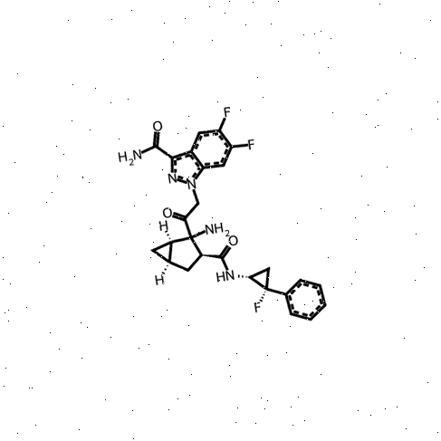 NC(=O)c1nn(CC(=O)C2(N)[C@@H](C(=O)N[C@@H]3C[C@@]3(F)c3ccccc3)C[C@H]3C[C@H]32)c2cc(F)c(F)cc12